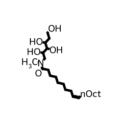 CCCCCCCC/C=C\CCCCCCCC(=O)N(C)CC(O)C(O)C(O)CCO